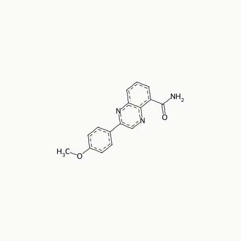 COc1ccc(-c2cnc3c(C(N)=O)cccc3n2)cc1